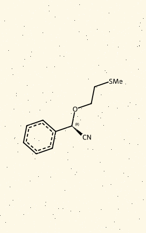 CSCCO[C@@H](C#N)c1ccccc1